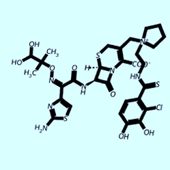 CC(C)(O/N=C(\C(=O)N[C@@H]1C(=O)N2C(C(=O)[O-])=C(C[N+]3(CCNC(=S)c4ccc(O)c(O)c4Cl)CCCC3)CS[C@H]12)c1csc(N)n1)C(O)O